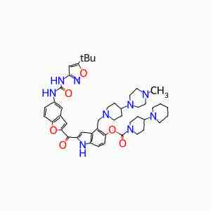 CN1CCN(C2CCN(Cc3c(OC(=O)N4CCC(N5CCCCC5)CC4)ccc4[nH]c(C(=O)c5cc6cc(NC(=O)Nc7cc(C(C)(C)C)on7)ccc6o5)cc34)CC2)CC1